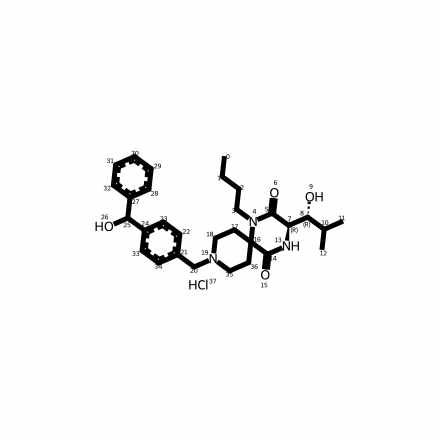 CCCCN1C(=O)[C@@H]([C@H](O)C(C)C)NC(=O)C12CCN(Cc1ccc(C(O)c3ccccc3)cc1)CC2.Cl